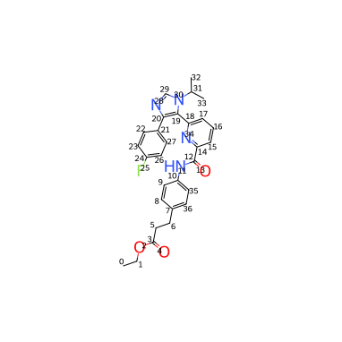 CCOC(=O)CCc1ccc(NC(=O)c2cccc(-c3c(-c4ccc(F)cc4)ncn3C(C)C)n2)cc1